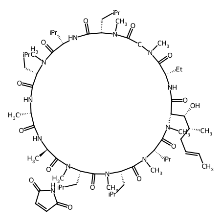 C/C=C/C[C@@H](C)[C@@H](O)[C@H]1C(=O)N[C@@H](CC)C(=O)N(C)CC(=O)N(C)[C@@H](CC(C)C)C(=O)N[C@@H](C(C)C)C(=O)N(C)[C@@H](CC(C)C)C(=O)N[C@@H](C)C(=O)N[C@H](C)C(=O)N(C)[C@@H](CC(C)C)C(=O)N(C)[C@@H](CC(C)C)C(=O)N(C)[C@@H](C(C)C)C(=O)N1C.O=C1C=CC(=O)N1